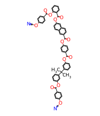 CC(C)(c1cccc(OC(=O)c2ccc(OC#N)cc2)c1)c1cccc(OC(=O)c2ccc(OC(=O)c3ccc4cc(OC(=O)c5ccccc5OC(=O)c5ccc(OC#N)cc5)ccc4c3)cc2)c1